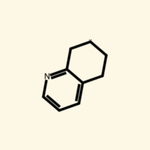 [C]1CCc2cccnc2C1